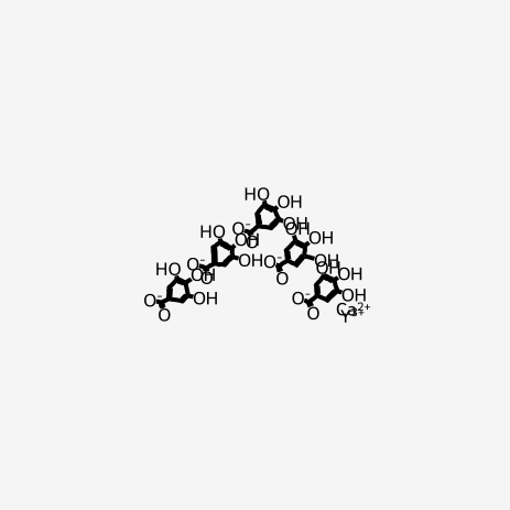 O=C([O-])c1cc(O)c(O)c(O)c1.O=C([O-])c1cc(O)c(O)c(O)c1.O=C([O-])c1cc(O)c(O)c(O)c1.O=C([O-])c1cc(O)c(O)c(O)c1.O=C([O-])c1cc(O)c(O)c(O)c1.[Ca+2].[Y+3]